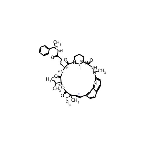 CC(C)[C@@H]1OC(=O)C(C)(C)/C=C/c2ccc3ccc(nc3c2)N(C)NC(=O)[C@@H]2CCCN(N2)C(=O)[C@H](CCC(=O)N[C@H](C)c2ccccc2)NC1=O